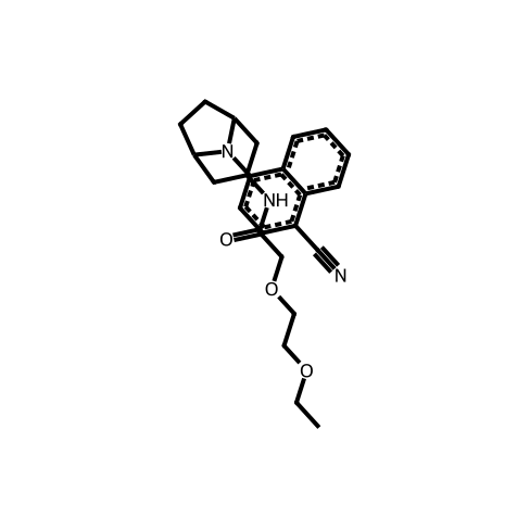 CCOCCOCC(=O)NC1CC2CCC(C1)N2c1ccc(C#N)c2ccccc12